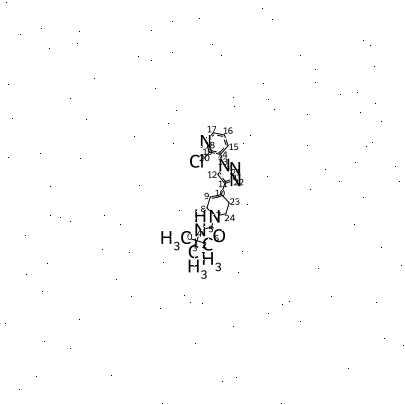 CC(C)(C)NC(=O)N1CC=C(c2cn(-c3cccnc3Cl)nn2)CC1